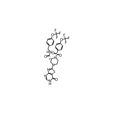 O=C(NCc1ccc(OC(F)(F)F)cc1)[C@H]1CN(c2nc3nc[nH]c(=O)c3s2)CCN1S(=O)(=O)c1ccc(OC(F)(F)F)cc1